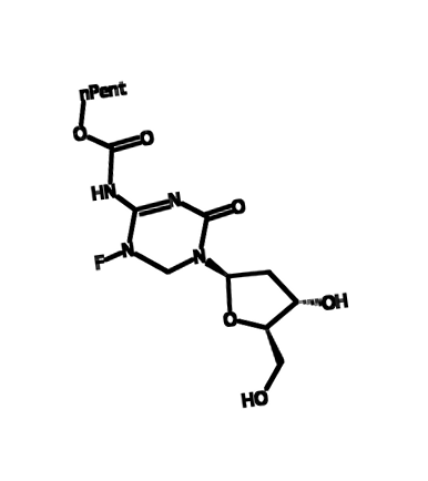 CCCCCOC(=O)NC1=NC(=O)N([C@H]2C[C@H](O)[C@@H](CO)O2)CN1F